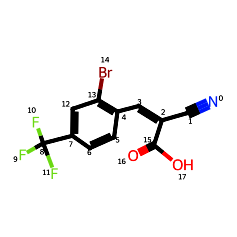 N#CC(=Cc1ccc(C(F)(F)F)cc1Br)C(=O)O